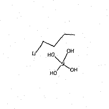 O[Si](O)(O)O.[Li][CH2]CCC